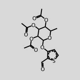 CC(=O)OC1C(C)OC(Oc2ccsc2C=O)C(OC(C)=O)C1OC(C)=O